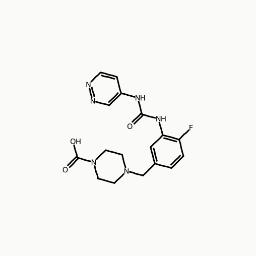 O=C(Nc1ccnnc1)Nc1cc(CN2CCN(C(=O)O)CC2)ccc1F